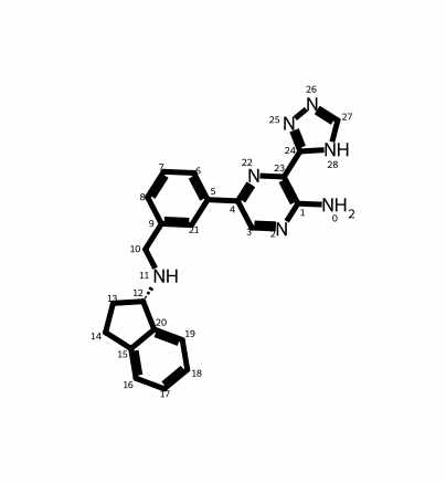 Nc1ncc(-c2cccc(CN[C@H]3CCc4ccccc43)c2)nc1-c1nnc[nH]1